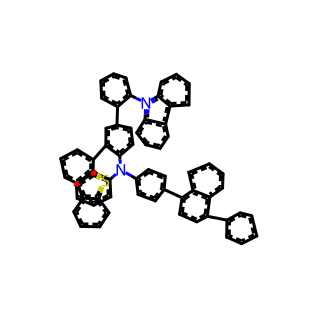 c1ccc(-c2ccc(-c3ccc(N(c4ccccc4)c4ccc(-c5ccccc5-n5c6ccccc6c6ccccc65)cc4-c4cccc5c4sc4ccccc45)cc3)c3ccccc23)cc1